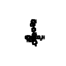 CC1CCC([P@@](=O)(O)N(c2cc(-c3ccc(-c4cc5ncccc5o4)cc3)sc2C(=O)O)C2CCOCC2)CC1